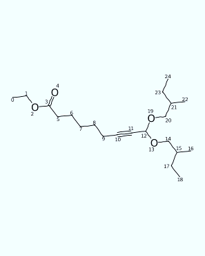 CCOC(=O)CCCCCC#CC(OCC(C)CC)OCC(C)CC